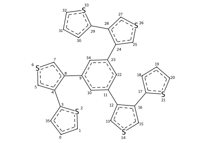 c1csc(-c2cscc2-c2cc(-c3cscc3-c3cccs3)cc(-c3cscc3-c3cccs3)c2)c1